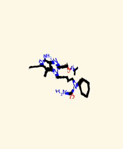 CC(C)=NOCc1nc2c(N)nc(C)c(C)c2n1CCCCN(C(N)=O)C1CCCCC1